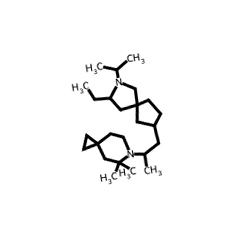 CCC1CC2(CCC(CC(C)N3CCC4(CC4)CC3(C)C)C2)CN1C(C)C